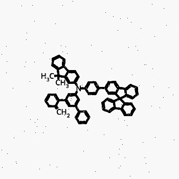 C=C1CC=CC=C1c1cc(-c2ccccc2)cc(N(c2ccc(-c3ccc4c(c3)C3(c5ccccc5-c5ccccc53)c3ccccc3-4)cc2)c2ccc3c(c2)C(C)(C)c2ccccc2-3)c1